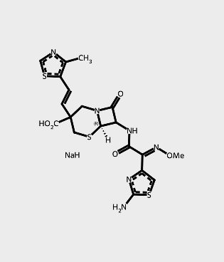 CON=C(C(=O)NC1C(=O)N2CC(C=Cc3scnc3C)(C(=O)O)CS[C@H]12)c1csc(N)n1.[NaH]